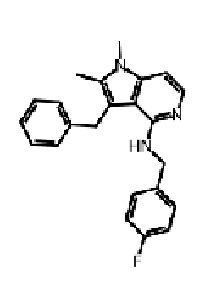 Cc1c(Cc2ccccc2)c2c(NCc3ccc(F)cc3)nccc2n1C